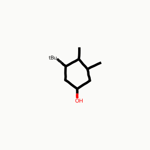 CC1CC(O)CC(C(C)(C)C)C1C